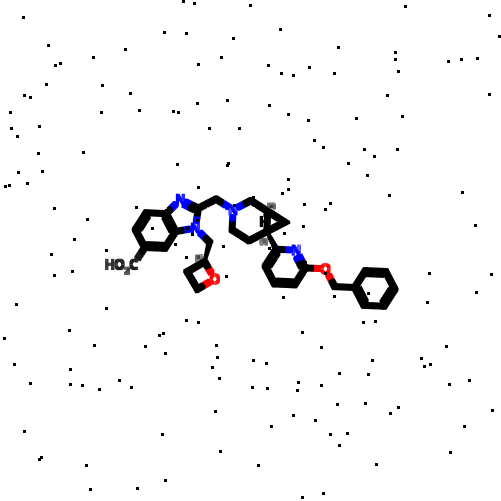 O=C(O)c1ccc2nc(CN3CC[C@@]4(c5cccc(OCc6ccccc6)n5)C[C@H]4C3)n(C[C@@H]3CCO3)c2c1